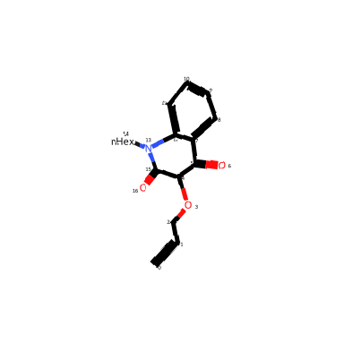 C=CCOC1C(=O)c2ccccc2N(CCCCCC)C1=O